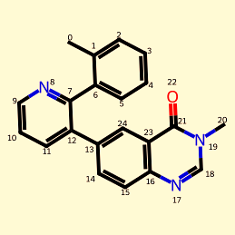 Cc1ccccc1-c1ncccc1-c1ccc2ncn(C)c(=O)c2c1